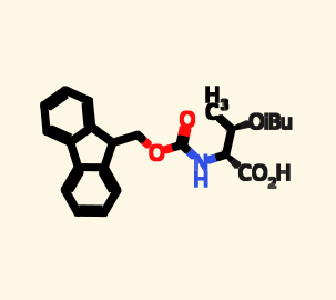 CC(C)CO[C@H](C)[C@H](NC(=O)OCC1c2ccccc2-c2ccccc21)C(=O)O